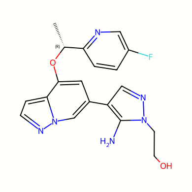 C[C@@H](Oc1cc(-c2cnn(CCO)c2N)cn2nccc12)c1ccc(F)cn1